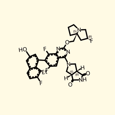 CCc1c(F)ccc2cc(O)cc(-c3c(F)cc4c(N5C[C@@H]6C(=O)NC(=O)[C@@H]6C5)nc(OC[C@@]56CCCN5C[C@H](F)C6)nc4c3F)c12